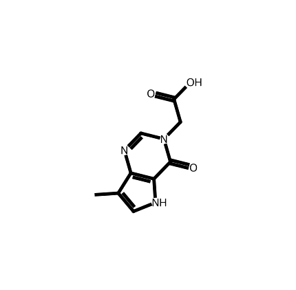 Cc1c[nH]c2c(=O)n(CC(=O)O)cnc12